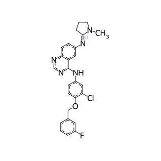 CN1CCC/C1=N\c1ccc2ncnc(Nc3ccc(OCc4cccc(F)c4)c(Cl)c3)c2c1